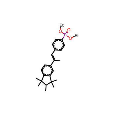 CCOP(=O)(OCC)c1ccc(C=C(C)c2ccc3c(c2)C(C)(C)C(C)C3(C)C)cc1